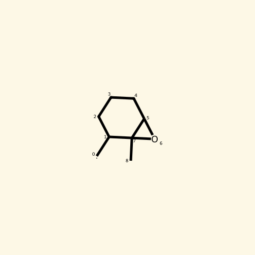 [CH2]C1CCCC2OC12C